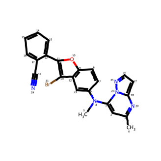 Cc1cc(N(C)c2ccc3oc(-c4ccccc4C#N)c(Br)c3c2)n2nccc2n1